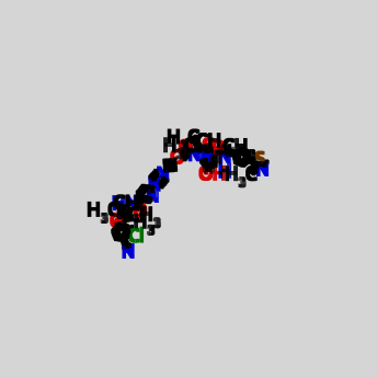 Cc1ncsc1-c1ccc([C@H](C)NC(=O)[C@@H]2C[C@@H](O)CN2C(=O)C(NC(=O)CO[C@H]2C[C@@H](N3CCN(c4ccc(C(=O)N[C@H]5C(C)(C)[C@H](Oc6ccc(C#N)c(Cl)c6)C5(C)C)cn4)CC3)C2)C(C)(C)C)cc1